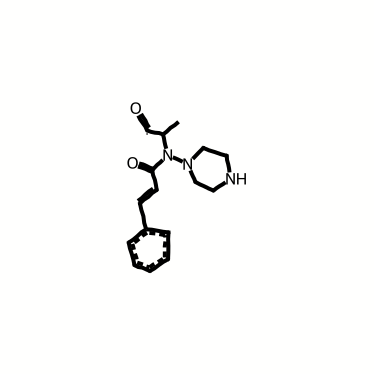 CC([C]=O)N(C(=O)C=Cc1ccccc1)N1CCNCC1